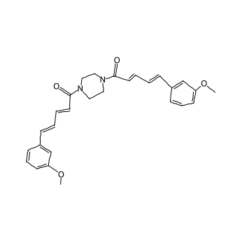 COc1cccc(/C=C/C=C/C(=O)N2CCN(C(=O)/C=C/C=C/c3cccc(OC)c3)CC2)c1